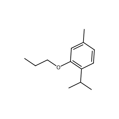 CCCOc1cc(C)ccc1C(C)C